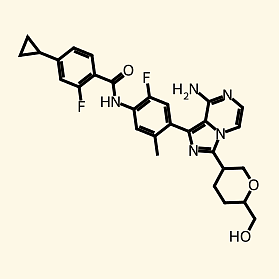 Cc1cc(NC(=O)c2ccc(C3CC3)cc2F)c(F)cc1-c1nc(C2CCC(CO)OC2)n2ccnc(N)c12